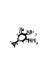 NC1=CN(C2CC2)CC(Br)=C1N